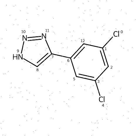 Clc1cc(Cl)cc(-c2c[nH]nn2)c1